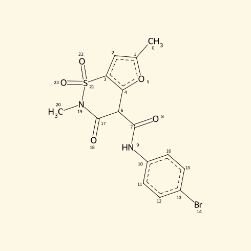 Cc1cc2c(o1)C(C(=O)Nc1ccc(Br)cc1)C(=O)N(C)S2(=O)=O